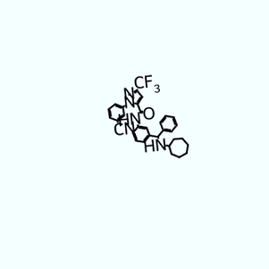 N#Cc1cccc(-n2nc(C(F)(F)F)cc2C(=O)Nc2cccc(C(NC3CCCCCC3)c3ccccc3)c2)c1